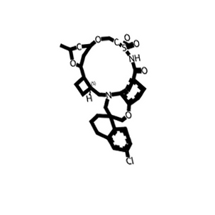 CC1CC2CC(O1)C1CC[C@@H]1CN1CC3(CCCc4cc(Cl)ccc43)COc3ccc(cc31)C(=O)NS(=O)(=O)CCO2